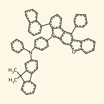 CC1(C)c2ccccc2-c2ccc(N(c3ccccc3)c3ccc(-n4c5cc6oc7ccccc7c6c(-c6ccccc6)c5c5cccc(-c6cccc7ccccc67)c54)cc3)cc21